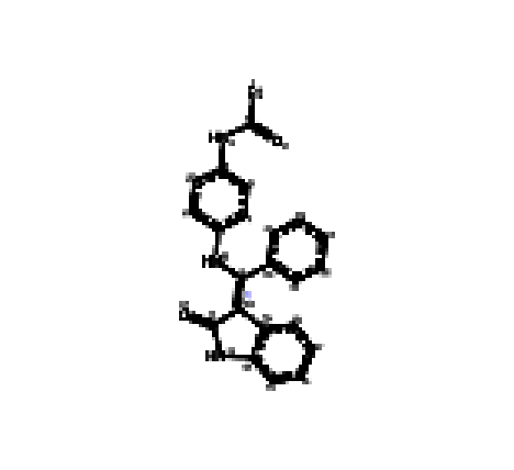 CCC(=O)Nc1ccc(N/C(=C2\C(=O)Nc3ccccc32)c2ccccc2)cc1